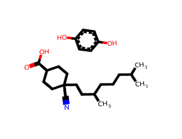 CC(C)CCCC(C)CCC1(C#N)CCC(C(=O)O)CC1.Oc1ccc(O)cc1